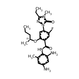 CCC[C@H](C)Oc1cc(-n2nc(CC)n(C)c2=O)c(F)cc1C(=O)Nc1c(C)cc(N)cc1N